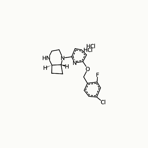 Cl.Cl.Fc1cc(Cl)ccc1COc1cccc(N2CCN[C@@H]3CC[C@H]32)n1